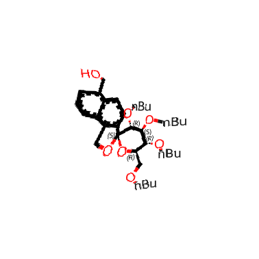 CCCCOC[C@H]1O[C@]2(OCc3c2ccc2c(CO)cccc32)[C@H](OCCCC)[C@@H](OCCCC)[C@@H]1OCCCC